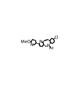 COc1ccc(-c2ccc3c(n2)/C=C\c2cc(Cl)ccc2N(C(C)=O)C3)cn1